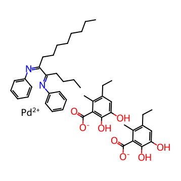 CCCCCCCCC(=Nc1ccccc1)C(CCCC)=Nc1ccccc1.CCc1cc(O)c(O)c(C(=O)[O-])c1C.CCc1cc(O)c(O)c(C(=O)[O-])c1C.[Pd+2]